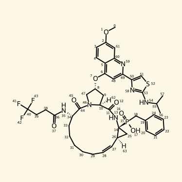 COc1ccc2c(O[C@@H]3C[C@H]4C(=O)N[C@]5(P(=O)(O)Cc6ccccc6)C[C@H]5/C=C\CCCCC[C@H](NC(=O)CCC(F)(F)F)C(=O)N4C3)cc(-c3csc(NC(C)C)n3)nc2c1